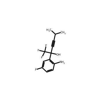 CC(C)C#CC(O)(c1cc(F)ccc1N)C(F)(F)F